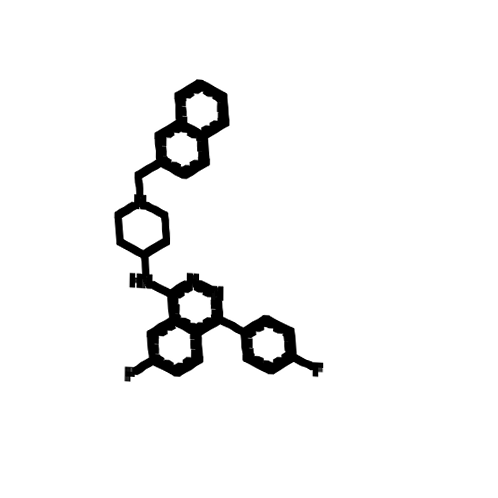 Fc1ccc(-c2nnc(NC3CCN(Cc4ccc5ccccc5c4)CC3)c3cc(F)ccc23)cc1